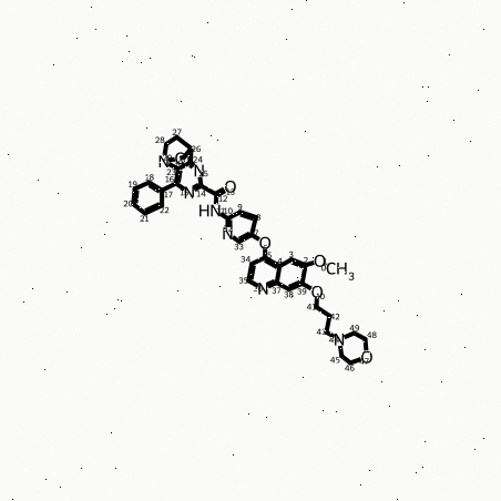 COc1cc2c(Oc3ccc(NC(=O)c4nc(-c5ccccc5)c5c(n4)C4CCN5CC4)nc3)ccnc2cc1OCCCN1CCOCC1